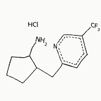 Cl.NC1CCCC1Cc1ccc(C(F)(F)F)cn1